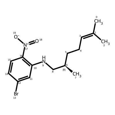 CC(C)=CCC[C@@H](C)CNc1cc(Br)ccc1[N+](=O)[O-]